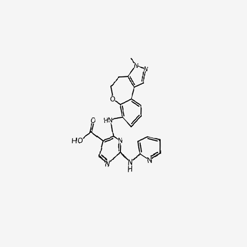 Cn1ncc2c1CCOc1c(Nc3nc(Nc4ccccn4)ncc3C(=O)O)cccc1-2